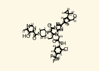 CCc1c(N2CCN(C(=O)c3ncnc(C)c3O)CC2)c(=O)n2nc(-c3cc4c(s3)COCC43CC3)nc2n1CC(=O)Nc1ccc(C(F)(F)F)cc1Cl